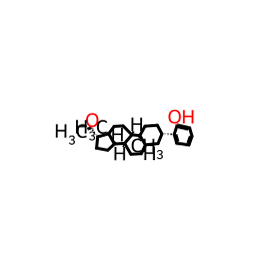 CC(=O)[C@H]1CC[C@H]2[C@@H]3CC[C@@H]4C[C@@H](c5ccccc5O)CC[C@]4(C)[C@H]3CC[C@]12C